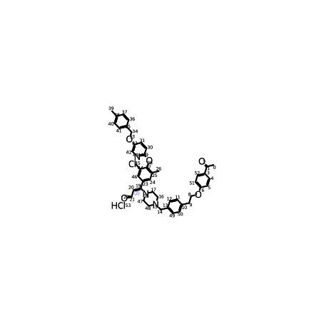 CC(=O)c1ccc(OCCc2ccc(CN3CCN(/C(=C\C=O)c4cc(C)c(Oc5ccc(OCc6ccc(C)cc6)cn5)c(Cl)c4)CC3)cc2)cc1.Cl